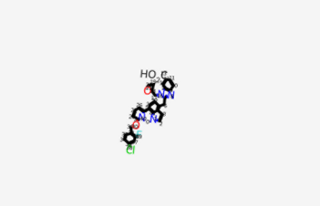 Cn1ccc2c(Cc3nc4ccc(C(=O)O)cc4n3CC3CCO3)ccc(-c3cccc(OCc4ccc(Cl)cc4F)n3)c21